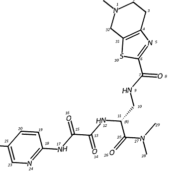 CN1CCc2nc(C(=O)NC[C@@H](NC(=O)C(=O)Nc3ccc(Cl)cn3)C(=O)N(C)C)sc2C1